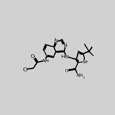 CC(C)(C)c1cc(Nc2ncnc3ccc(NC(=O)CCl)cc23)c(C(N)=O)[se]1